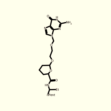 CCCCCC(CC)NC(=O)C1CCCC(OCCOCn2cnc3c(=O)[nH]c(N)nc32)O1